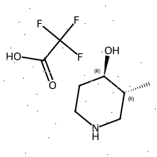 C[C@@H]1CNCC[C@H]1O.O=C(O)C(F)(F)F